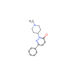 CN1CCC(n2nc(-c3ccccc3)ccc2=O)CC1